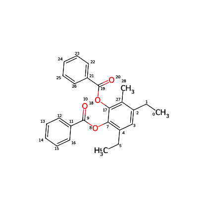 CCc1cc(CC)c(OC(=O)c2ccccc2)c(OC(=O)c2ccccc2)c1C